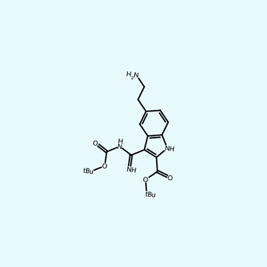 CC(C)(C)OC(=O)NC(=N)c1c(C(=O)OC(C)(C)C)[nH]c2ccc(CCN)cc12